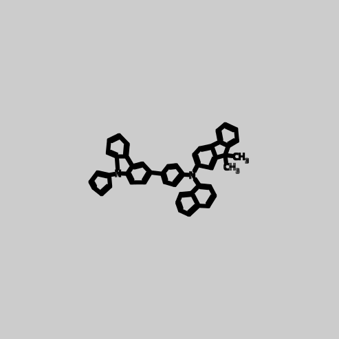 CC1(C)c2ccccc2-c2ccc(N(c3ccc(-c4ccc5c(c4)c4ccccc4n5-c4ccccc4)cc3)c3cccc4ccccc34)cc21